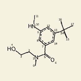 CN(CCO)C(=O)c1cc(NI)cc(C(C)(C)C)c1